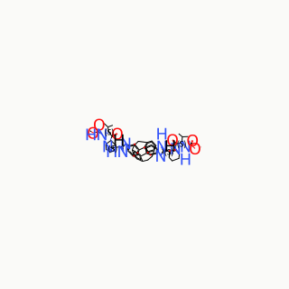 COC(=O)N[C@H](C(=O)N1C2CCC(CC2)[C@H]1c1nc2cc(-c3cc4ccc3CCc3ccc(c(-c5ccc6[nH]c([C@@H]7C8CCC(CC8)N7C(=O)[C@@H](NC(=O)OC)C(C)C)nc6c5)c3)CC4)ccc2[nH]1)C(C)C